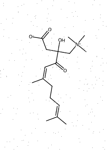 CC(C)=CCC/C(C)=C\C(=O)C(O)(CC(=O)[O-])C[N+](C)(C)C